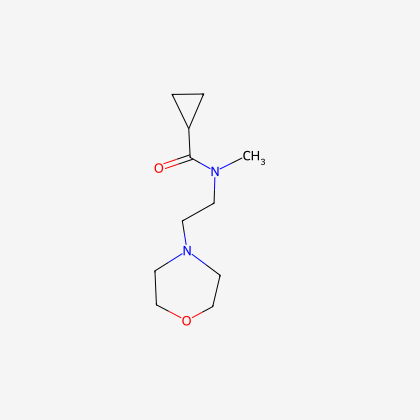 CN(CCN1CCOCC1)C(=O)C1CC1